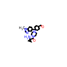 Cn1cnc2cc(C3(N4CCN(C(=O)C5(N)CC5)CC4)C=CC(C=O)=CC3)ccc21